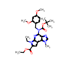 CCOC(=O)c1cc2c3c(ncn3C)c(N(Cc3ccc(OC)cc3OC)C(=O)OC(C)(C)C)nc2n1CC